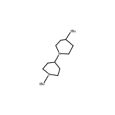 CC(C)(C)C1CCN(C2CCN(C(C)(C)C)CC2)CC1